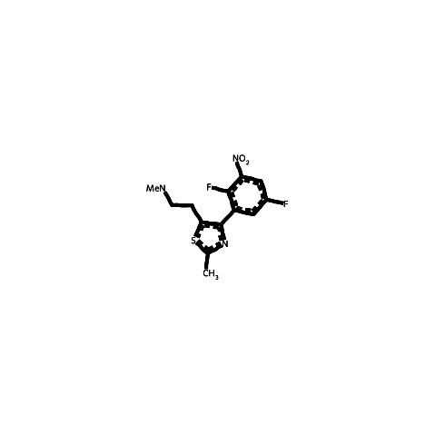 CNCCc1sc(C)nc1-c1cc(F)cc([N+](=O)[O-])c1F